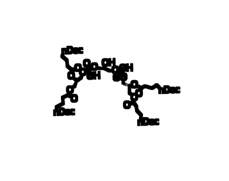 CCCCCCCCCCCCCC(=O)OC[C@H](COP(=O)(O)OCC(O)COP(=O)(O)OC[C@@H](COC(=O)CCCCCCCCCCCCC)OC(=O)CCCCCCCCCCCCC)OC(=O)CCCCCCCCCCCCC